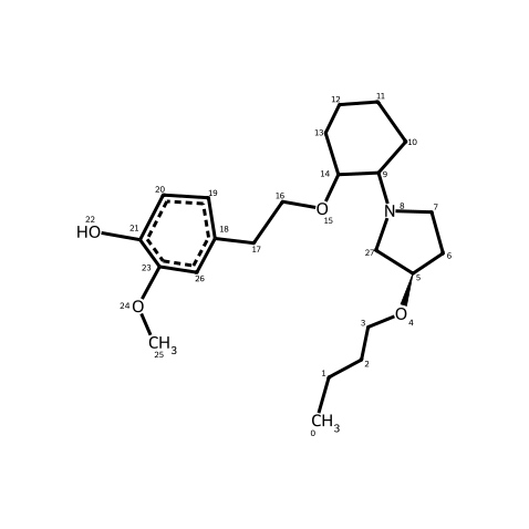 CCCCO[C@@H]1CCN(C2CCCCC2OCCc2ccc(O)c(OC)c2)C1